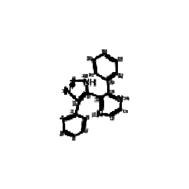 [c]1nc(-c2ccccc2)c(-c2nccnc2-c2ccccc2)[nH]1